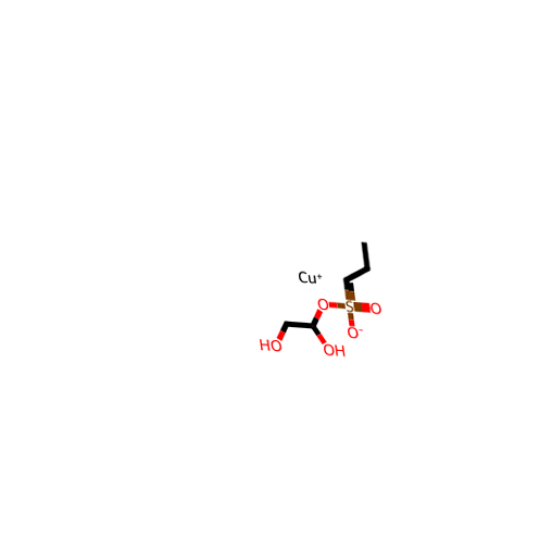 CCC=S(=O)([O-])OC(O)CO.[Cu+]